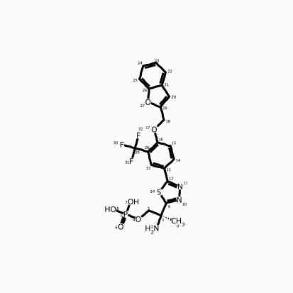 C[C@](N)(COP(=O)(O)O)c1nnc(-c2ccc(OCc3cc4ccccc4o3)c(C(F)(F)F)c2)s1